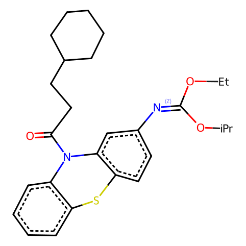 CCO/C(=N/c1ccc2c(c1)N(C(=O)CCC1CCCCC1)c1ccccc1S2)OC(C)C